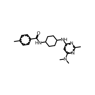 Cc1ccc(C(=O)NC2CCC(Nc3cc(N(C)C)nc(C)n3)CC2)cc1